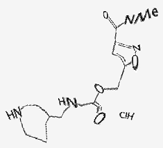 CNC(=O)c1cc(COC(=O)NCC2CCNC2)on1.Cl